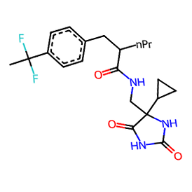 CCCC(Cc1ccc(C(C)(F)F)cc1)C(=O)NCC1(C2CC2)NC(=O)NC1=O